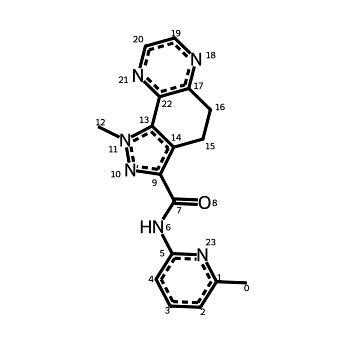 Cc1cccc(NC(=O)c2nn(C)c3c2CCc2nccnc2-3)n1